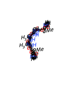 COc1cc2c(cc1OCCCNC(=O)c1cc(NC(=O)c3cc(NC(=O)c4cc(NC(=O)CCCOc5cc6c(cc5OC)C(=O)N5CCC[C@H]5C=N6)cn4C)cn3C)cn1C)N=C[C@@H]1CCCN1C2=O